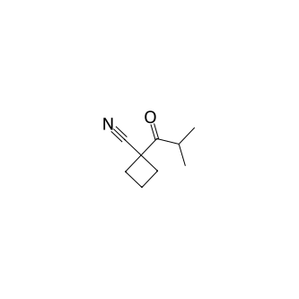 CC(C)C(=O)C1(C#N)CCC1